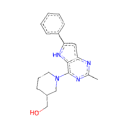 Cc1nc(N2CCCC(CO)C2)c2[nH]c(-c3ccccc3)cc2n1